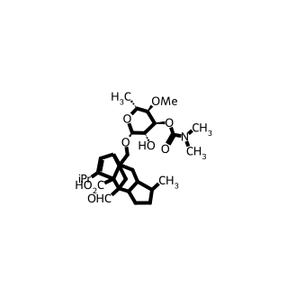 CO[C@H]1[C@@H](OC(=O)N(C)C)[C@H](O)[C@H](OCC23CC4C(C)CCC4C4(C=O)CC2C=C(C(C)C)C43C(=O)O)O[C@@H]1C